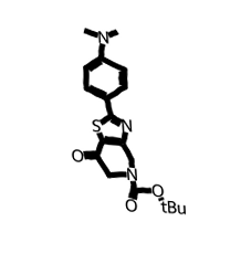 CN(C)c1ccc(-c2nc3c(s2)C(=O)CN(C(=O)OC(C)(C)C)C3)cc1